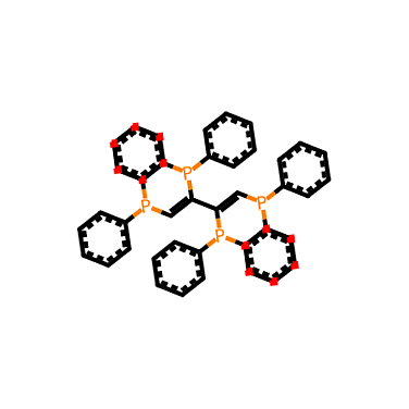 C(=C(C(=CP(c1ccccc1)c1ccccc1)P(c1ccccc1)c1ccccc1)P(c1ccccc1)c1ccccc1)P(c1ccccc1)c1ccccc1